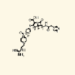 C[C@@H](NC(=O)Cn1cnnn1)[C@H]1C(=O)N2C(C(=O)O)=C(S[C@@H]3CN[C@H](C(=O)N4CCN(CCNC(=N)N)CC4)C3)[C@H](C)[C@H]12